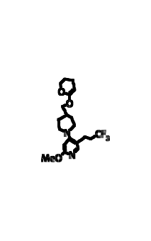 COc1cc(N2CCC(COC3=CCCCO3)CC2)c(CCC(F)(F)F)cn1